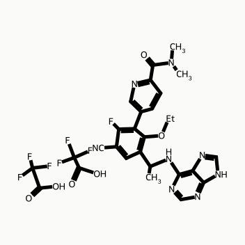 CCOc1c(C(C)Nc2ncnc3[nH]cnc23)cc(C#N)c(F)c1-c1ccc(C(=O)N(C)C)nc1.O=C(O)C(F)(F)F.O=C(O)C(F)(F)F